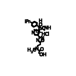 CC(C)c1ccc([C@](O)(c2cncc(-c3noc(CCN(C)C(=O)CO)n3)c2)C2(C)CNC2)cc1.Cl